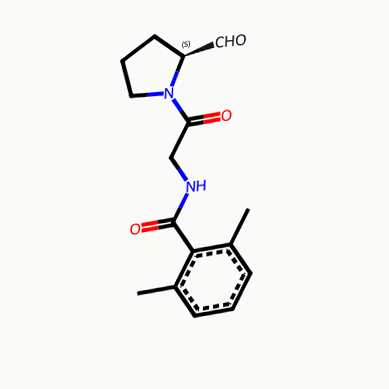 Cc1cccc(C)c1C(=O)NCC(=O)N1CCC[C@H]1C=O